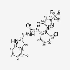 CC1=CC=CC2NC(CNC(=O)COc3cc(C(F)(F)F)nn3C3=CC=CCC3Cl)CN12